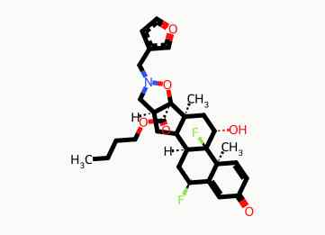 CCCCOC(=O)[C@@]12ON(Cc3ccoc3)C[C@@H]1CC1[C@@H]3C[C@H](F)C4=CC(=O)C=C[C@]4(C)[C@@]3(F)[C@@H](O)C[C@@]12C